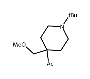 COCC1(C(C)=O)CCN(C(C)(C)C)CC1